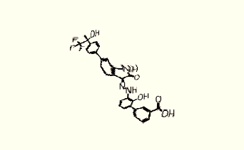 CC(O)(c1ccc(-c2ccc3c(c2)NC(=O)C3=NNc2cccc(-c3cccc(C(=O)O)c3)c2O)cc1)C(F)(F)F